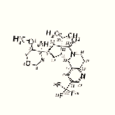 CO[C@@H]1COCC[C@]1(N)[C@@H]1CC[C@@](C(=O)N2CCc3ncc(C(F)(F)F)cc3C2)(C(C)C)C1